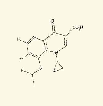 O=C(O)c1cn(C2CC2)c2c(OC(F)F)c(F)c(F)cc2c1=O